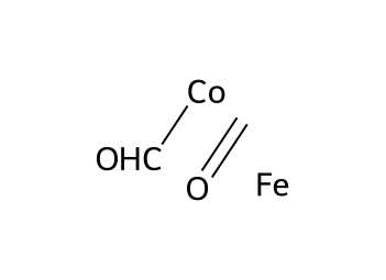 C=O.O=[CH][Co].[Fe]